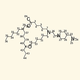 C=C=C(CCCCCN(CCCCCC=O)CCN1CCC(CN(C)C)CC1)OCC(CCCCCC)CCCCCCCC